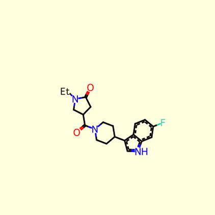 CCN1CC(C(=O)N2CCC(c3c[nH]c4cc(F)ccc34)CC2)CC1=O